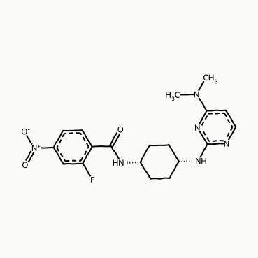 CN(C)c1ccnc(N[C@H]2CC[C@@H](NC(=O)c3ccc([N+](=O)[O-])cc3F)CC2)n1